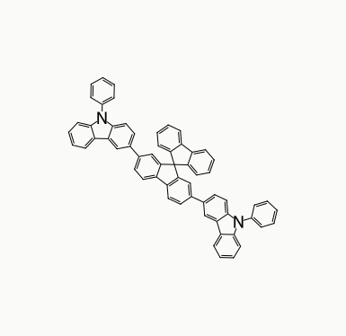 c1ccc(-n2c3ccccc3c3cc(-c4ccc5c(c4)C4(c6ccccc6-c6ccccc64)c4cc(-c6ccc7c(c6)c6ccccc6n7-c6ccccc6)ccc4-5)ccc32)cc1